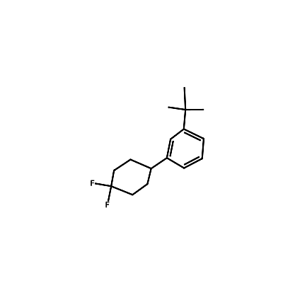 CC(C)(C)c1cccc(C2CCC(F)(F)CC2)c1